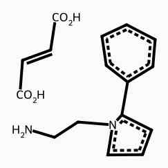 NCCn1cccc1-c1ccccc1.O=C(O)/C=C/C(=O)O